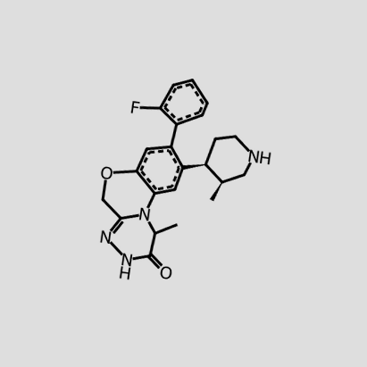 CC1C(=O)NN=C2COc3cc(-c4ccccc4F)c([C@H]4CCNC[C@H]4C)cc3N21